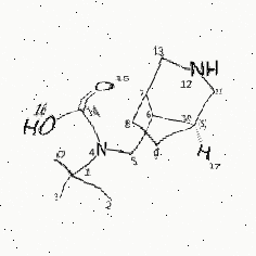 CC(C)(C)N(CC1C2CC[C@@H]1CNC2)C(=O)O